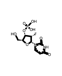 O=c1ccn([C@@H]2O[C@@H](CO)[C@H](OP(=O)(O)O)[C@@H]2F)c(=O)[nH]1